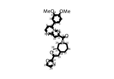 COc1ccc(-c2ccnc3cc(C(=O)N4CCCC(CC(=O)c5ncco5)[C@@H](C)C4)nn23)cc1OC